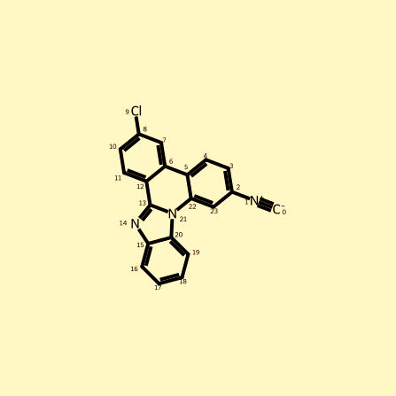 [C-]#[N+]c1ccc2c3cc(Cl)ccc3c3nc4ccccc4n3c2c1